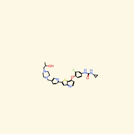 CC(O)CN1CCN(Cc2ccc(-c3cc4nccc(Oc5ccc(NC(=O)NC6CC6)cc5F)c4s3)nc2)CC1